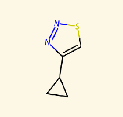 c1snnc1C1CC1